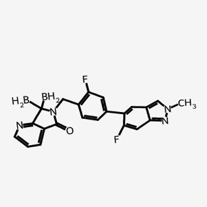 BC1(B)c2ncccc2C(=O)N1Cc1ccc(-c2cc3cn(C)nc3cc2F)cc1F